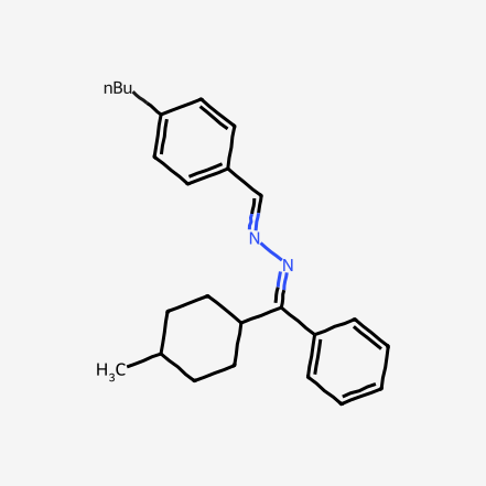 CCCCc1ccc(C=NN=C(c2ccccc2)C2CCC(C)CC2)cc1